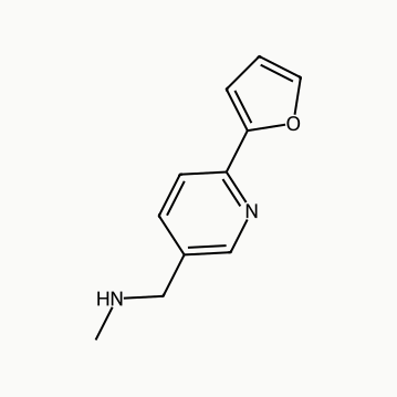 CNCc1ccc(-c2ccco2)nc1